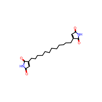 O=C1C=C(CCCCCCCCCCCCC2=CC(=O)NC2=O)C(=O)N1